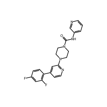 O=C(Nc1cccnc1)N1CCN(c2cc(-c3ccc(F)cc3F)ccn2)CC1